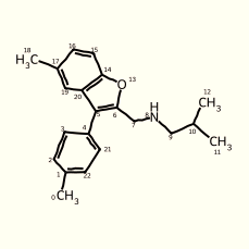 Cc1ccc(-c2c(CNCC(C)C)oc3ccc(C)cc23)cc1